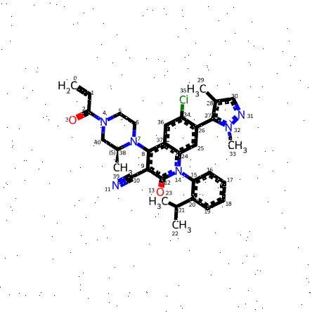 C=CC(=O)N1CCN(c2c(C#N)c(=O)n(-c3ccccc3C(C)C)c3cc(-c4c(C)cnn4C)c(Cl)cc23)[C@@H](C)C1